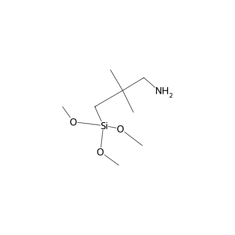 CO[Si](CC(C)(C)CN)(OC)OC